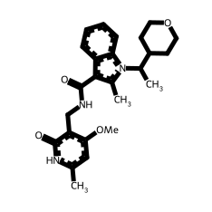 COc1cc(C)[nH]c(=O)c1CNC(=O)c1c(C)n(C(C)C2CCOCC2)c2ccccc12